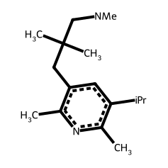 CNCC(C)(C)Cc1cc(C(C)C)c(C)nc1C